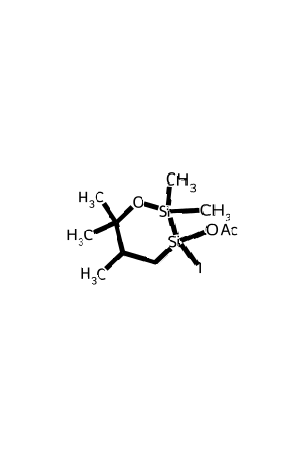 CC(=O)O[Si]1(I)CC(C)C(C)(C)O[Si]1(C)C